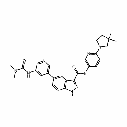 CN(C)C(=O)Nc1cncc(-c2ccc3[nH]nc(C(=O)Nc4ccc(N5CCC(F)(F)C5)nc4)c3c2)c1